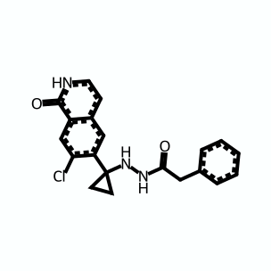 O=C(Cc1ccccc1)NNC1(c2cc3cc[nH]c(=O)c3cc2Cl)CC1